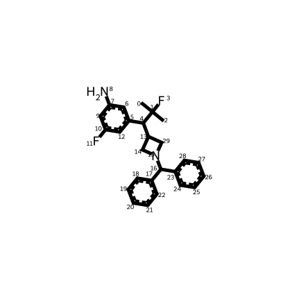 CC(C)(F)C(c1cc(N)cc(F)c1)C1CN(C(c2ccccc2)c2ccccc2)C1